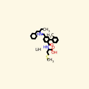 CCC(CC1CCCCC1)NCc1ccc(C(=O)NC(CCSC)C(=O)O)c(-c2ccccc2C)c1.[LiH]